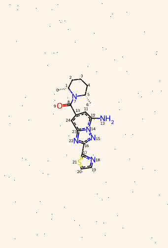 C[C@@H]1CCC[C@H](C)N1C(=O)c1cc(N)n2nc(-c3nccs3)nc2c1